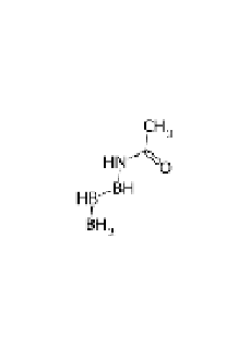 BBBNC(C)=O